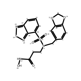 O=C(CCN(Cc1ccc2c(c1)OCO2)S(=O)(=O)c1cccc2nsnc12)NO